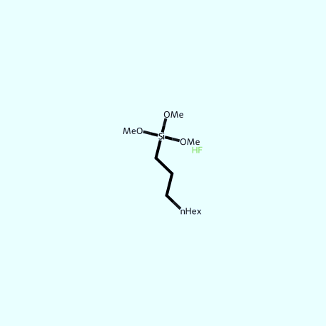 CCCCCCCCC[Si](OC)(OC)OC.F